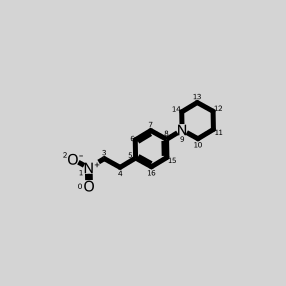 O=[N+]([O-])CCc1ccc(N2CCCCC2)cc1